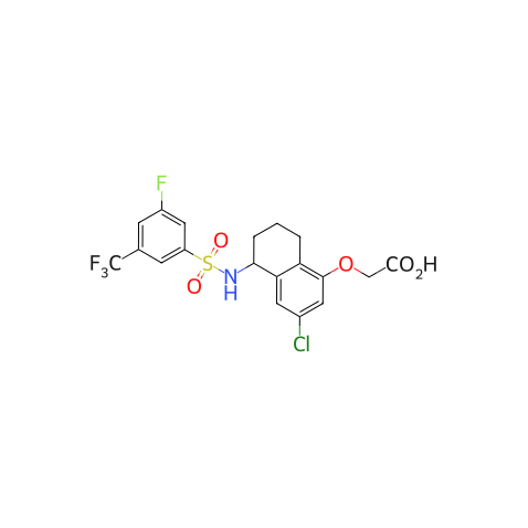 O=C(O)COc1cc(Cl)cc2c1CCCC2NS(=O)(=O)c1cc(F)cc(C(F)(F)F)c1